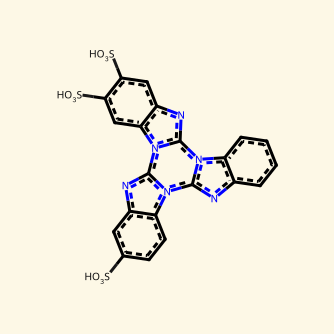 O=S(=O)(O)c1ccc2c(c1)nc1n2c2nc3ccccc3n2c2nc3cc(S(=O)(=O)O)c(S(=O)(=O)O)cc3n21